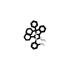 Cc1ccccc1N1C(C2CCCCC2)N2C(c3ccccc3C2(c2ccccc2)C2CCCCC2)[C@@H]1C